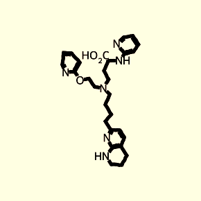 O=C(O)C(CCN(CCCCc1ccc2c(n1)NCCC2)CCOc1ccccn1)Nc1ccccn1